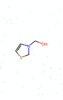 OCN1C=CSC1